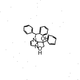 OCC(O)(c1ccccc1)c1nccn1C(c1ccccc1)c1ccccc1